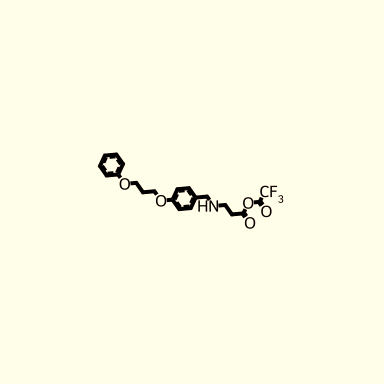 O=C(CCNCc1ccc(OCCCOc2ccccc2)cc1)OC(=O)C(F)(F)F